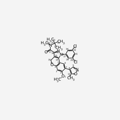 COc1cc2c(cc1-c1cnoc1C)-c1c(c(C(=O)N(C)C(C)(C)C)nn1-c1cc(Cl)cc(Cl)c1)CO2